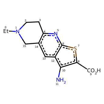 CCN1CCc2nc3sc(C(=O)O)c(N)c3cc2C1